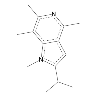 Cc1nc(C)c2cc(C(C)C)n(C)c2c1C